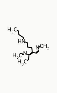 C=N/C=C\C(CCCNCCCC)=C(/CC)N=C